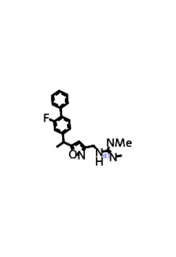 C/N=C(\NC)NCc1cc(C(C)c2ccc(-c3ccccc3)c(F)c2)on1